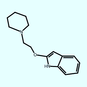 c1ccc2[nH]c(OCCN3CCCCC3)cc2c1